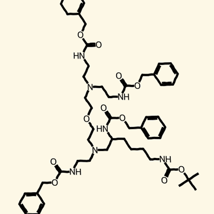 CC(C)(C)OC(=O)NCCCCC(CN(CCNC(=O)OCc1ccccc1)CCOCCN(CCNC(=O)OCC1=CC=CCC1)CCNC(=O)OCc1ccccc1)NC(=O)OCc1ccccc1